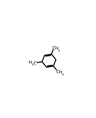 CC1=CC(C)C=C(C)C1